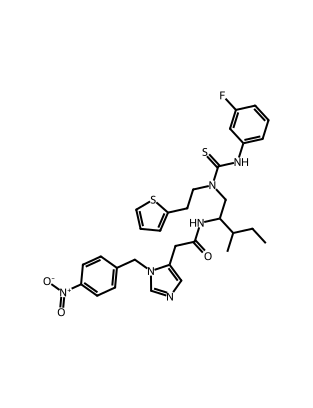 CCC(C)C(CN(CCc1cccs1)C(=S)Nc1cccc(F)c1)NC(=O)Cc1cncn1Cc1ccc([N+](=O)[O-])cc1